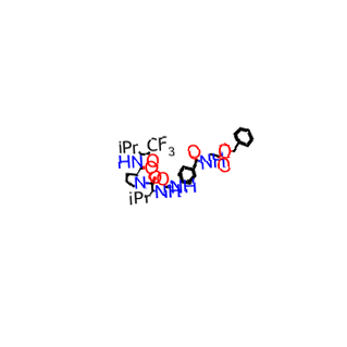 CC(C)C(NC(=O)[C@@H]1CCCN1C(=O)[C@@H](NC(=O)Nc1ccc(C(=O)NCC(=O)OCc2ccccc2)cc1)C(C)C)C(=O)C(F)(F)F